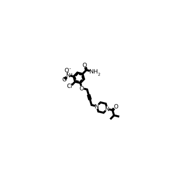 CC(C)C(=O)N1CCN(CC#CCOc2cc(C(N)=O)cc([N+](=O)[O-])c2Cl)CC1